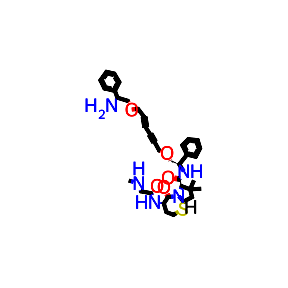 CNCC(=O)N[C@H]1CCS[C@H]2CC(C)(C)[C@@H](C(=O)N[C@H](COCC#CC#CCOC[C@@H](N)c3ccccc3)c3ccccc3)N2C1=O